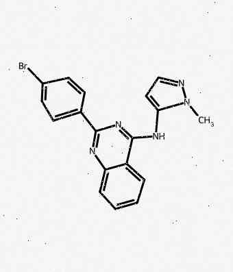 Cn1nccc1Nc1nc(-c2ccc(Br)cc2)nc2ccccc12